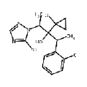 CC(c1ccccc1Cl)C(O)(C(C)n1ncnc1S)C1(Cl)CC1